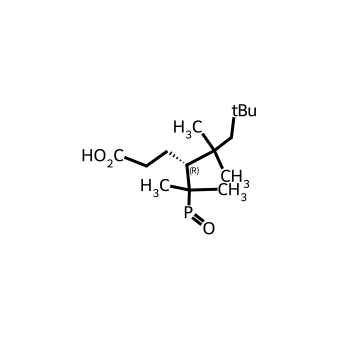 CC(C)(C)CC(C)(C)[C@@H](CCC(=O)O)C(C)(C)P=O